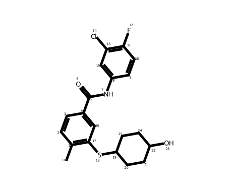 Cc1ccc(C(=O)Nc2ccc(F)c(Cl)c2)cc1SC1CCC(O)CC1